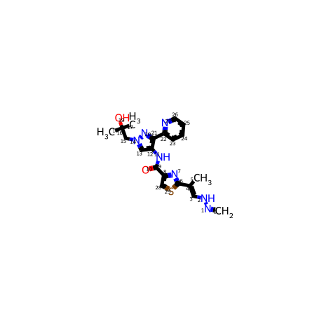 C=NN/C=C(\C)c1nc(C(=O)Nc2cn(CC(C)(C)O)nc2-c2ccccn2)cs1